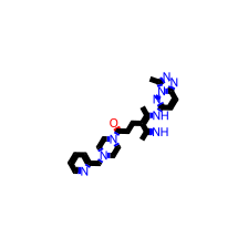 CC(=N)/C(CCC(=O)N1CCN(Cc2ccccn2)CC1)=C(/C)Nc1ccc2nnc(C)n2n1